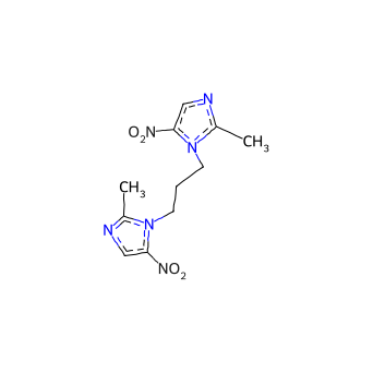 Cc1ncc([N+](=O)[O-])n1CCCn1c([N+](=O)[O-])cnc1C